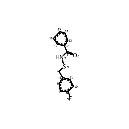 O=C(NSCc1ccc(F)cc1)c1ccccc1